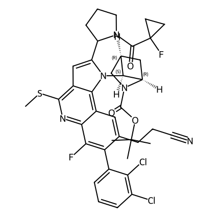 CSc1nc2c(F)c(-c3cccc(Cl)c3Cl)c(CCC#N)cc2c2c1cc(C1CCCN1C(=O)C1(F)CC1)n2[C@H]1[C@@H]2C[C@H]1N(C(=O)OC(C)(C)C)C2